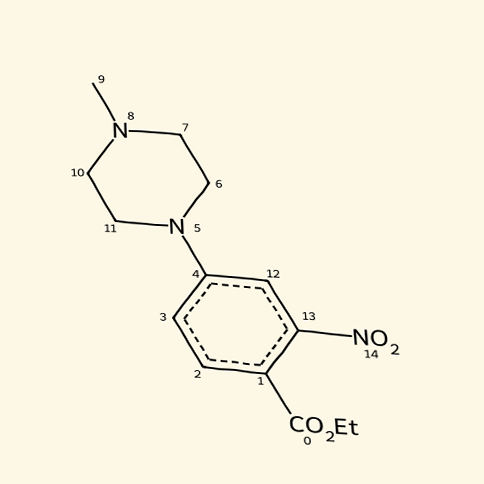 CCOC(=O)c1ccc(N2CCN(C)CC2)cc1[N+](=O)[O-]